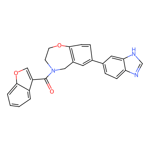 O=C(c1coc2ccccc12)N1CCOc2ccc(-c3ccc4nc[nH]c4c3)cc2C1